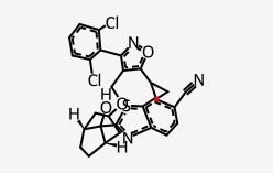 N#Cc1ccc2nc(C3(O)[C@@H]4CC[C@H]3CC(OCc3c(-c5c(Cl)cccc5Cl)noc3C3CC3)C4)sc2c1